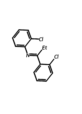 CCC(=Nc1ccccc1Cl)c1ccccc1Cl